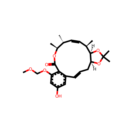 COCOc1cc(O)cc2c1C(=O)O[C@@H](C)[C@H](C)/C=C\[C@@H](C)[C@H]1OC(C)(C)O[C@H]1C/C=C/2